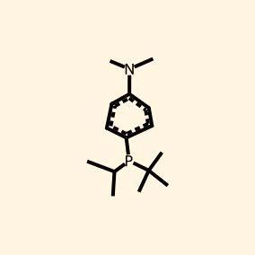 CC(C)P(c1ccc(N(C)C)cc1)C(C)(C)C